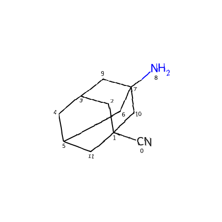 N#CC12CC3CC(CC(N)(C3)C1)C2